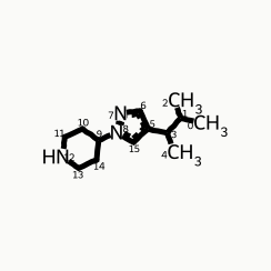 CC(C)C(C)c1cnn(C2CCNCC2)c1